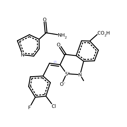 CN1c2ccc(C(=O)O)cc2C(=O)/C(=C/c2ccc(F)c(Cl)c2)[S+]1[O-].NC(=O)c1ccncc1